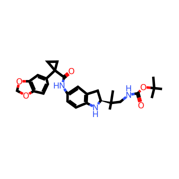 CC(C)(C)OC(=O)NCC(C)(C)[C@@H]1Cc2cc(NC(=O)C3(c4ccc5c(c4)OCO5)CC3)ccc2N1